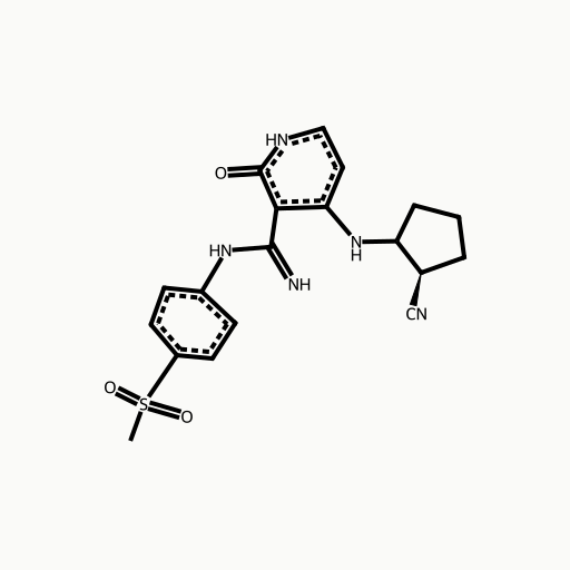 CS(=O)(=O)c1ccc(NC(=N)c2c(NC3CCC[C@H]3C#N)cc[nH]c2=O)cc1